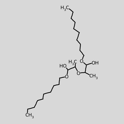 CCCCCCCCCCOC(O)C(C)OC(C)C(O)OCCCCCCCCCC